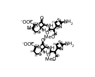 CO/N=C(\C(=O)NC1C(=O)N2C(C(=O)[O-])=CCS[C@H]12)c1csc(N)n1.CO/N=C(\C(=O)NC1C(=O)N2C(C(=O)[O-])=CCS[C@H]12)c1csc(N)n1.[Mg+2]